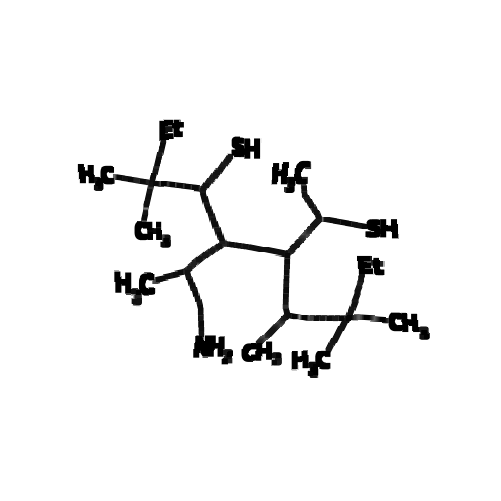 CCC(C)(C)C(C)C(C(C)S)C(C(C)N)C(S)C(C)(C)CC